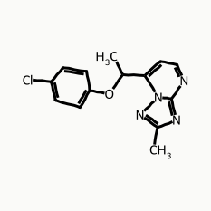 Cc1nc2nccc(C(C)Oc3ccc(Cl)cc3)n2n1